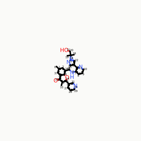 Cc1cc([C@@H](C)Nc2cccnc2-c2cnn(C(C)(C)CO)c2)c2oc(-c3cccnc3)c(C)c(=O)c2c1